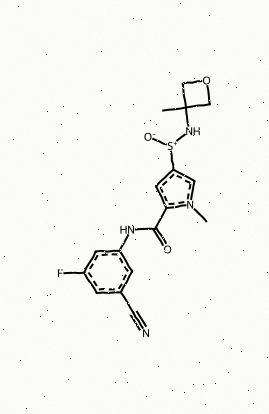 Cn1cc([S+]([O-])NC2(C)COC2)cc1C(=O)Nc1cc(F)cc(C#N)c1